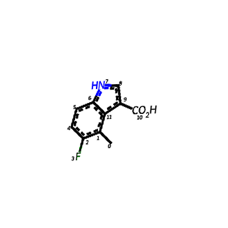 Cc1c(F)ccc2[nH]cc(C(=O)O)c12